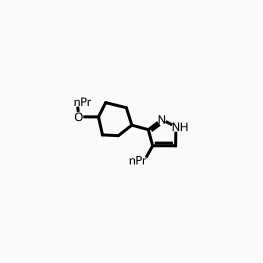 CCCOC1CCC(c2n[nH]cc2CCC)CC1